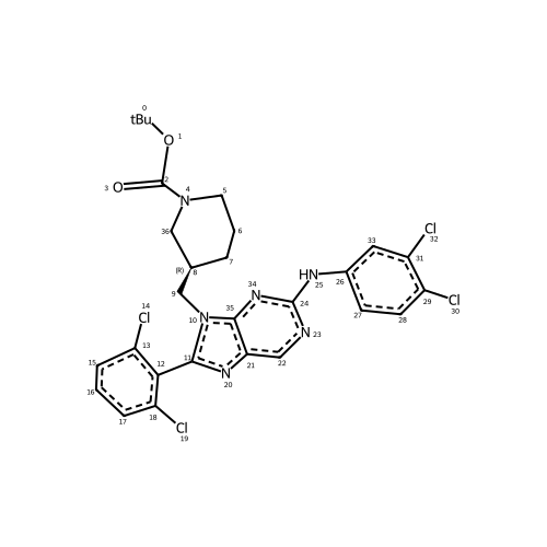 CC(C)(C)OC(=O)N1CCC[C@@H](Cn2c(-c3c(Cl)cccc3Cl)nc3cnc(Nc4ccc(Cl)c(Cl)c4)nc32)C1